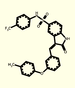 Cc1ccc(Oc2cccc(C=C3C(=O)Nc4ccc(S(=O)(=O)Nc5ccc(C(F)(F)F)cc5)cc43)c2)cc1